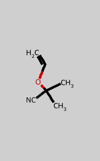 C=COC(C)(C)C#N